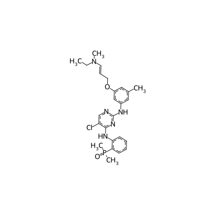 CCN(C)/C=C/COc1cc(C)cc(Nc2ncc(Cl)c(Nc3ccccc3P(C)(C)=O)n2)c1